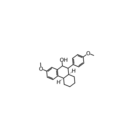 COc1ccc(C2C(O)c3cc(OC)ccc3[C@@H]3CCCC[C@H]23)cc1